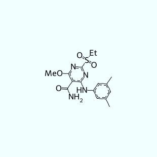 CCS(=O)(=O)c1nc(Nc2cc(C)cc(C)c2)c(C(N)=O)c(OC)n1